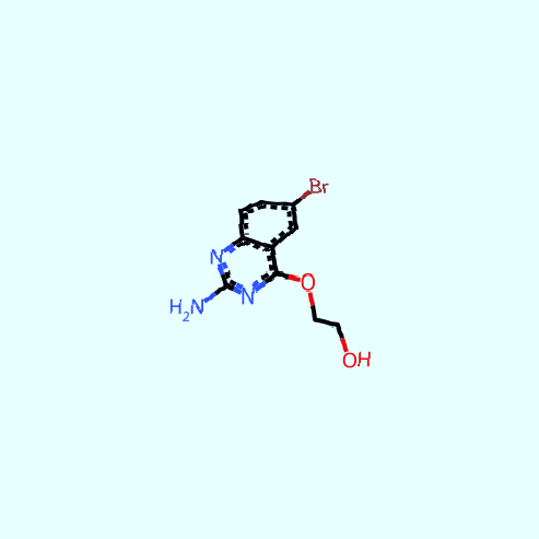 Nc1nc(OCCO)c2cc(Br)ccc2n1